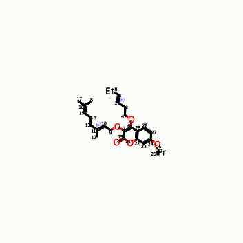 CC/C=C/CCOc1c(OC/C=C(\C)CCC=C(C)C)c(=O)oc2cc(OC(C)C)ccc12